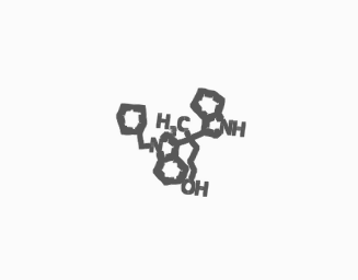 CC(CCCO)(c1c[nH]c2ccccc12)c1cn(Cc2ccccc2)c2ccccc12